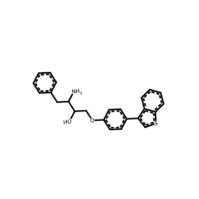 NC(Cc1ccccc1)C(O)COc1ccc(-c2csc3ccccc23)cc1